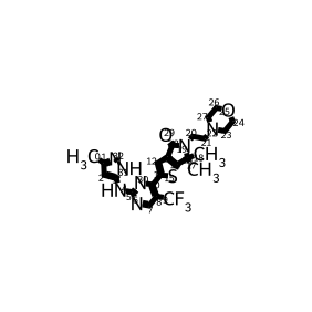 Cc1cc(Nc2ncc(C(F)(F)F)c(-c3cc4c(s3)C(C)(C)N(CCN3CCOCC3)C4=O)n2)[nH]n1